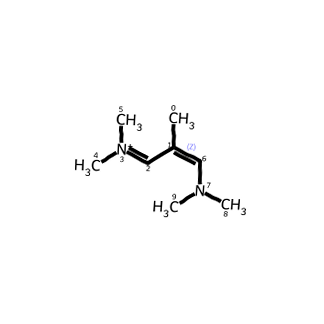 C/C(C=[N+](C)C)=C/N(C)C